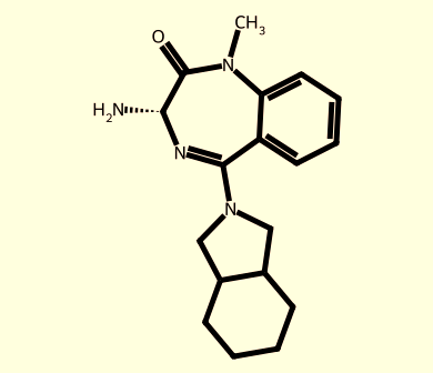 CN1C(=O)[C@@H](N)N=C(N2CC3CCCCC3C2)c2ccccc21